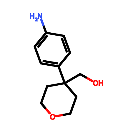 Nc1ccc(C2(CO)CCOCC2)cc1